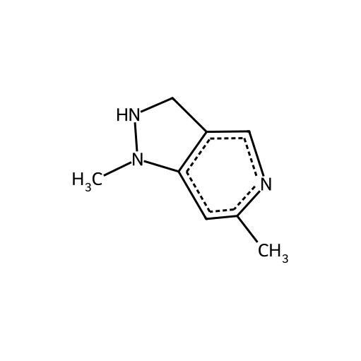 Cc1cc2c(cn1)CNN2C